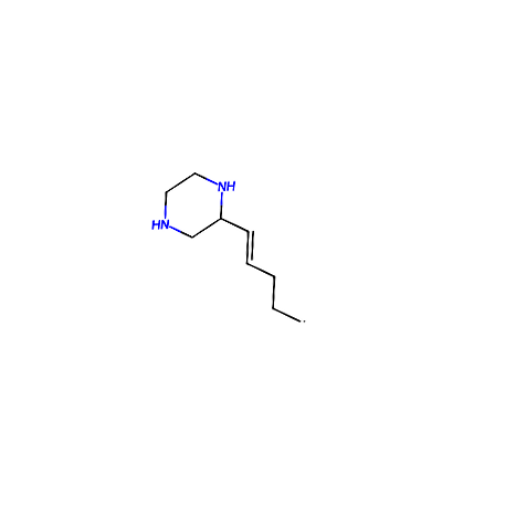 [CH2]CCC=CC1CNCCN1